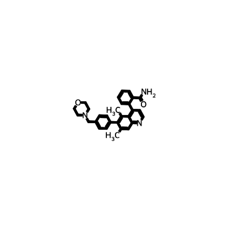 Cc1cc2nccc(-c3ccccc3C(N)=O)c2c(C)c1-c1ccc(CN2CCOCC2)cc1